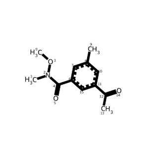 CON(C)C(=O)c1cc(C)cc(C(C)=O)c1